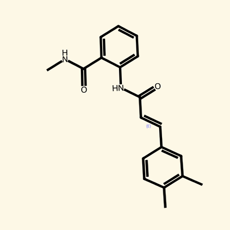 CNC(=O)c1ccccc1NC(=O)/C=C/c1ccc(C)c(C)c1